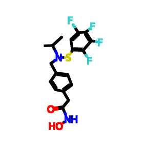 CC(C)N(Cc1ccc(CC(=O)NO)cc1)Sc1cc(F)c(F)c(F)c1F